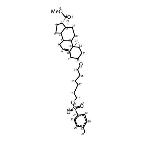 COC(=O)[C@H]1CCC2C3CC=C4C[C@@H](OCCCCCCOS(=O)(=O)c5ccc(C)cc5)CC[C@]4(C)C3CC[C@@]21C